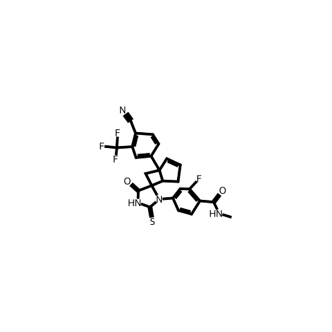 CNC(=O)c1ccc(N2C(=S)NC(=O)C23CC2(c4ccc(C#N)c(C(F)(F)F)c4)C=CCC23)cc1F